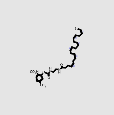 CC/C=C\C/C=C\C/C=C\C/C=C\C/C=C\C/C=C\CCC(=O)NCCNC(=O)Oc1cc(C)ccc1C(=O)O